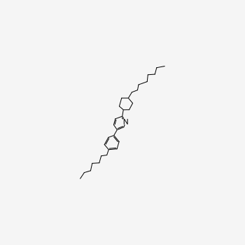 CCCCCCCCC1CCC(c2ccc(-c3ccc(CCCCCCC)cc3)cn2)CC1